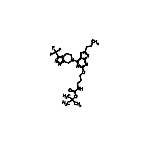 CCCc1cc2c(N3CCn4c(nnc4C(F)(F)F)C3)nc(OCCCNC(=O)OC(C)(C)C)nc2s1